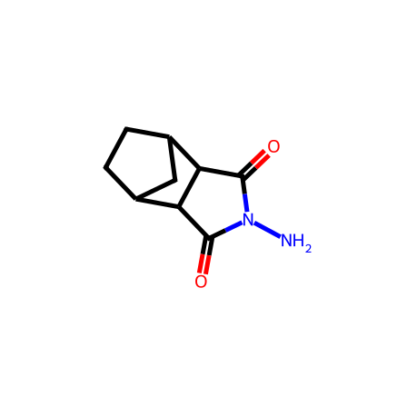 NN1C(=O)C2C3CCC(C3)C2C1=O